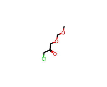 COCOCC(=O)CCl